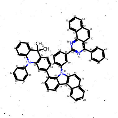 CC1(C)c2ccccc2N(c2ccccc2)c2cc(-c3cccc4c5c6ccccc6ccc5n(-c5cccc(-c6nc(-c7ccccc7)c7ccc8ccccc8c7n6)c5)c34)ccc21